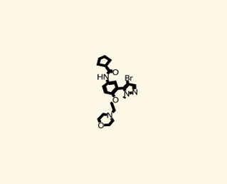 Cn1ncc(Br)c1-c1cc(NC(=O)C2CCCC2)ccc1OCCN1CCOCC1